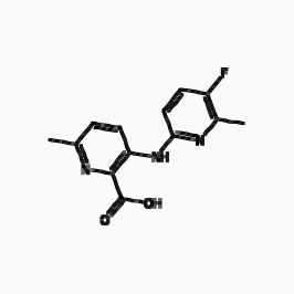 Cc1ccc(Nc2ccc(F)c(C)n2)c(C(=O)O)n1